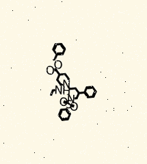 CCNC1CC(C(=O)OCc2ccccc2)CCN1CCC(CN(C)S(=O)(=O)c1ccccc1)c1ccccc1